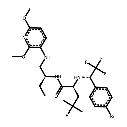 CC[C@@H](CNc1ccc(OC)nc1OC)NC(=O)[C@H](CC(C)(C)F)N[C@@H](c1ccc(Br)cc1)C(F)(F)F